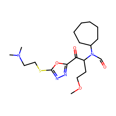 COCCC(C(=O)c1nnc(SCCN(C)C)o1)N(C=O)C1CCCCCC1